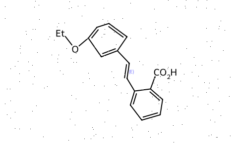 CCOc1cccc(/C=C/c2ccccc2C(=O)O)c1